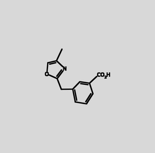 Cc1coc(Cc2cccc(C(=O)O)c2)n1